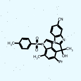 Cc1ccc(S(=O)(=O)n2ccc3c(C(C)(O)c4nc5cc(C#N)ccc5[nH]4)c(C(C)C)cc(C)c32)cc1